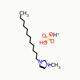 CCCCCCCCCCCCN1C=CN(C)C1.O=S(=O)([O-])O.[H+]